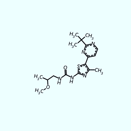 COC(C)CNC(=O)Nc1nc(C)c(-c2ccnc(C(C)(C)C)n2)s1